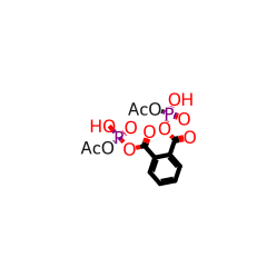 CC(=O)OP(=O)(O)OC(=O)c1ccccc1C(=O)OP(=O)(O)OC(C)=O